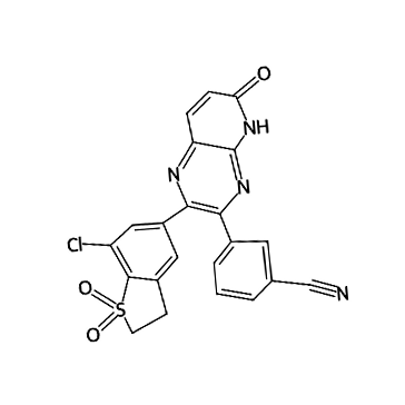 N#Cc1cccc(-c2nc3[nH]c(=O)ccc3nc2-c2cc(Cl)c3c(c2)CCS3(=O)=O)c1